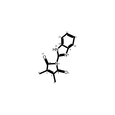 CC1=C(C)C(=O)N(c2nc3ccccc3[nH]2)C1=O